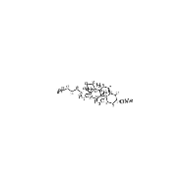 CO[C@@H]1CC[C@]2(C)C(=CC[C@@H]3[C@H]4CC[C@@H](CCCCC(C)C)[C@]4(C)CC[C@H]32)C1